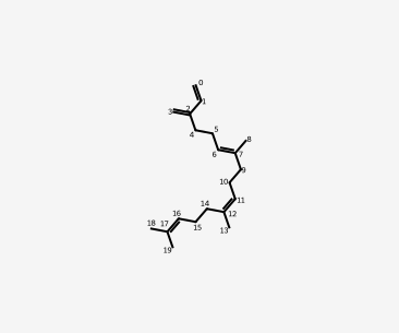 C=CC(=C)CCC=C(C)CC/C=C(/C)CCC=C(C)C